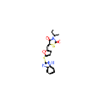 CCC(C)N1C(=O)S/C(=C\c2ccc(Sc3nc4ccccc4[nH]3)o2)C1=O